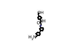 NCc1ccc(-c2cccc(/C=C/C(=O)Nc3ccc(CO)cc3)c2)cc1